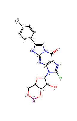 O=c1c2nc(Br)n(C3OC4COPOC4C3O)c2nc2[nH]c(-c3ccc(C(F)(F)F)cc3)cn12